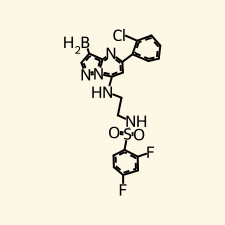 Bc1cnn2c(NCCNS(=O)(=O)c3ccc(F)cc3F)cc(-c3ccccc3Cl)nc12